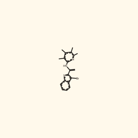 C=C(Nc1nc(C)c(C)c(C)c1C)c1sc2ccccc2c1Br